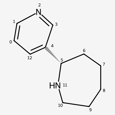 c1cncc([C@@H]2CCCCCN2)c1